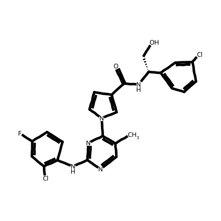 Cc1cnc(Nc2ccc(F)cc2Cl)nc1-n1ccc(C(=O)N[C@H](CO)c2cccc(Cl)c2)c1